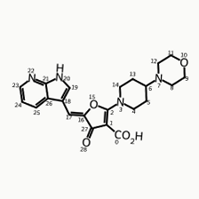 O=C(O)C1=C(N2CCC(N3CCOCC3)CC2)OC(=Cc2c[nH]c3ncccc23)C1=O